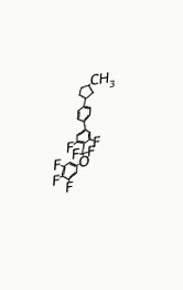 CC1CCC(c2ccc(-c3cc(F)c(C(F)(F)Oc4cc(F)c(F)c(F)c4)c(F)c3)cc2)C1